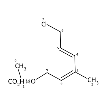 CC(=O)O.CC(C=CCCl)=CCO